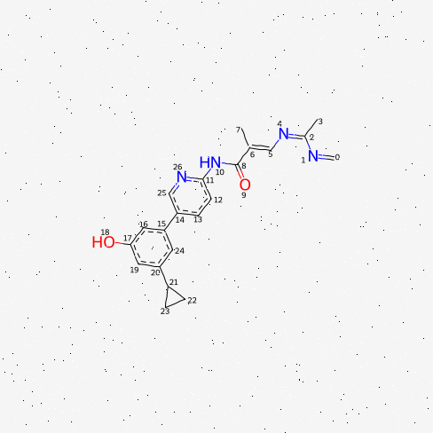 C=N/C(C)=N\C=C(/C)C(=O)Nc1ccc(-c2cc(O)cc(C3CC3)c2)cn1